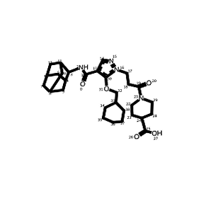 O=C(NC1C2CC3CC(C2)CC1C3)c1cnn(CCC(=O)N2CCC(C(=O)O)CC2)c1OCC1CCCCC1